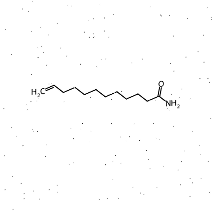 C=CCCCCCCCCCC(N)=O